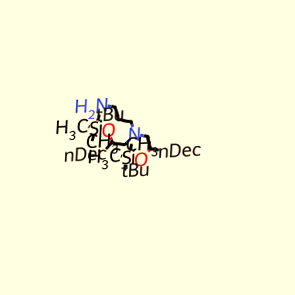 CCCCCCCCCCC(CN(CCCN)CC(CCCCCCCCCC)O[Si](C)(C)C(C)(C)C)O[Si](C)(C)C(C)(C)C